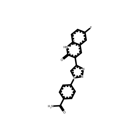 NC(=O)c1ccc(-n2cc(-c3cc4cc(F)ccc4[nH]c3=O)nn2)cc1